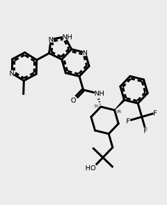 Cc1cc(-c2n[nH]c3ncc(C(=O)N[C@H]4CCC(CC(C)(C)O)C[C@@H]4c4ccccc4C(F)(F)F)cc23)ccn1